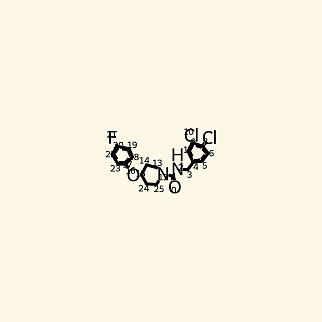 O=C(NCc1ccc(Cl)c(Cl)c1)N1CCC(Oc2ccc(F)cc2)CC1